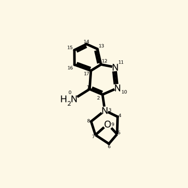 Nc1c(N2CC3CC(C2)O3)nnc2ccccc12